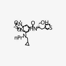 CCCN(CC1CC1)c1cc(C(=O)N[C@H](CO)Cc2ccsc2)cc(N(C)S(C)(=O)=O)n1